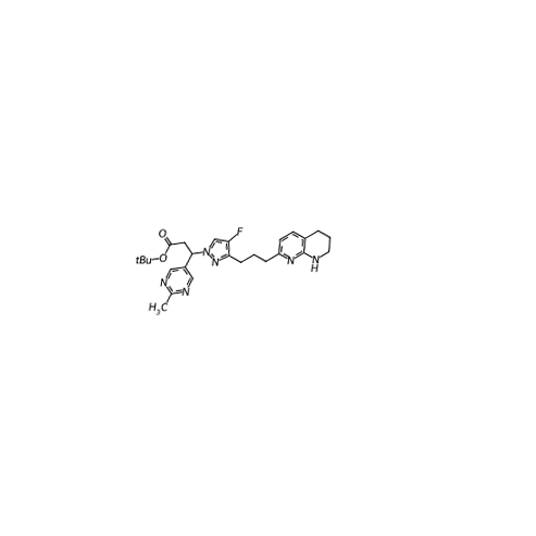 Cc1ncc(C(CC(=O)OC(C)(C)C)n2cc(F)c(CCCc3ccc4c(n3)NCCC4)n2)cn1